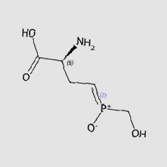 N[C@@H](C/C=[P+](\[O-])CO)C(=O)O